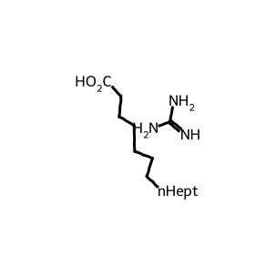 CCCCCCCCCCCCCC(=O)O.N=C(N)N